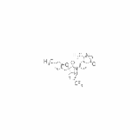 Cc1ccc(CC(O)(C(=O)Nc2ccc3c(=O)onc(C)c3c2)c2ccc(C(F)(F)F)cc2)cc1